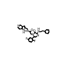 O=C(Cn1c(-c2cc(F)ccc2F)cnc(NCCc2ccccc2)c1=O)NCc1cc2cnccc2[nH]1